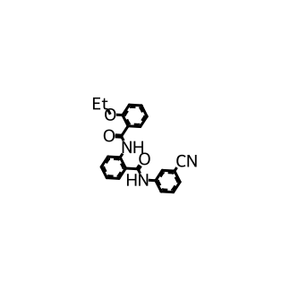 CCOc1ccccc1C(=O)Nc1ccccc1C(=O)Nc1cccc(C#N)c1